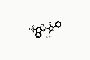 CC1=NN(c2ccccc2)C(=O)C1/N=N/c1c(O)cc(S(=O)(=O)[O-])c2ccccc12.[Na+]